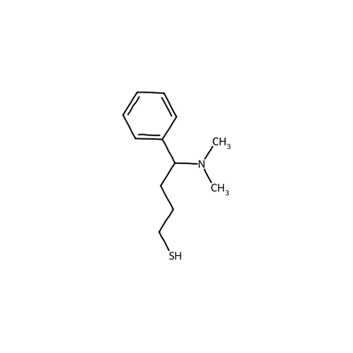 CN(C)C(CCCS)c1ccccc1